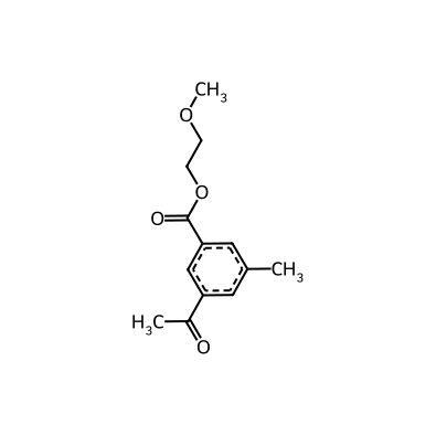 COCCOC(=O)c1cc(C)cc(C(C)=O)c1